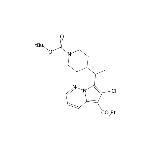 CCOC(=O)c1c(Cl)c(C(C)C2CCN(C(=O)OC(C)(C)C)CC2)n2ncccc12